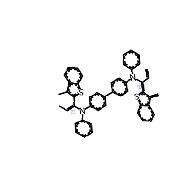 C=C/C(=c1/sc2ccccc2c1=C)N(c1ccccc1)c1ccc(-c2ccc(N(/C(=C/C)c3sc4ccccc4c3C)c3ccccc3)cc2)cc1